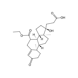 CCOC(=O)C1CC2=CC(=O)CC[C@]2(C)[C@H]2CC[C@@]3(C)[C@@H](CC[C@]3(O)CCC(=O)O)[C@H]12